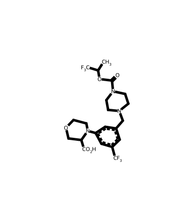 CC(OC(=O)N1CCN(Cc2cc(N3CCOCC3C(=O)O)cc(C(F)(F)F)c2)CC1)C(F)(F)F